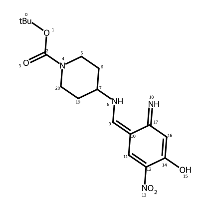 CC(C)(C)OC(=O)N1CCC(N/C=C2/C=C([N+](=O)[O-])C(O)=CC2=N)CC1